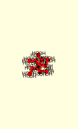 C=C(Oc1cc(C(=O)O[C@H]2[C@H](OC(=O)c3cc(O)c(O)c(OC(=O)c4cc(O)c(O)c(O)c4)c3)[C@@H](OC(=O)c3cc(O)c(O)c(OC(=O)c4cc(O)c(O)c(O)c4)c3)[C@H](OC(=O)c3cc(O)c(O)c(OC(=O)c4cc(O)c(O)c(O)c4)c3)O[C@@H]2COC(=O)c2cc(O)c(O)c(OC(=O)c3cc(O)c(O)c(O)c3)c2)cc(O)c1O)c1cc(O)c(O)c(O)c1